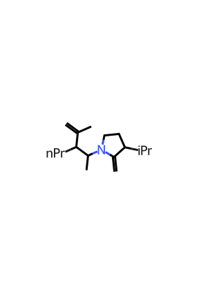 C=C(C)C(CCC)C(C)N1CCC(C(C)C)C1=C